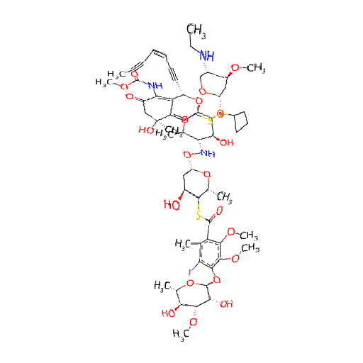 CC#C/C=C\C#C[C@H](O[C@@H]1O[C@H](C)[C@@H](NO[C@H]2C[C@H](O)[C@H](SC(=O)c3c(C)c(I)c(O[C@@H]4O[C@@H](C)[C@H](O)[C@@H](OC)[C@H]4O)c(OC)c3OC)[C@@H](C)O2)[C@H](O)[C@H]1O[C@H]1C[C@H](OC)[C@@H](NCC)CO1)C1=C(NC(=O)OC)C(=O)C[C@](C)(O)/C1=C/CSSC1CCC1